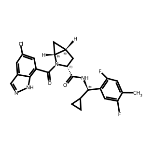 Cc1cc(F)c([C@H](NC(=O)[C@H]2C[C@H]3C[C@H]3N2C(=O)c2cc(Cl)cc3cn[nH]c23)C2CC2)cc1F